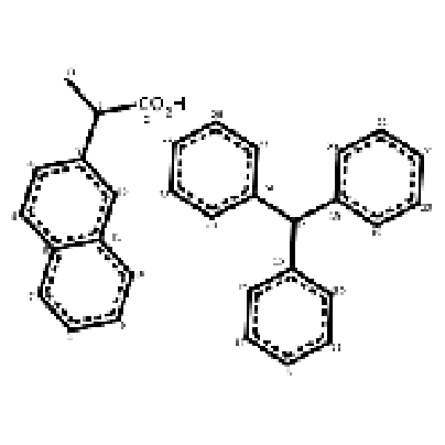 CC(C(=O)O)c1ccc2ccccc2c1.c1ccc(C(c2ccccc2)c2ccccc2)cc1